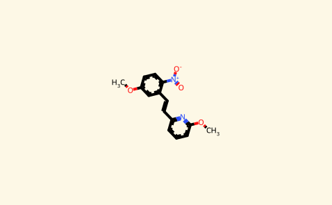 COc1ccc([N+](=O)[O-])c(/C=C/c2cccc(OC)n2)c1